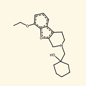 CCOc1cccc2c3c(oc12)CN(CC1(O)CCCCC1)CC3